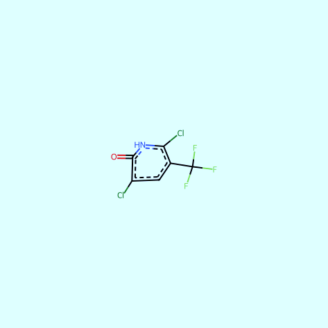 O=c1[nH]c(Cl)c(C(F)(F)F)cc1Cl